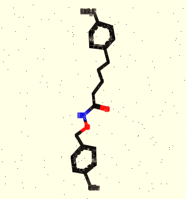 CCOC(=O)c1ccc(CCCCC(=O)NOCc2ccc(OC(C)=O)cc2)cc1